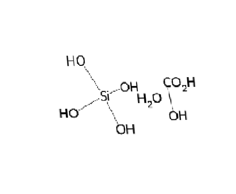 O.O=C(O)O.O[Si](O)(O)O